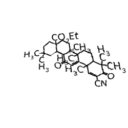 CCOC(=O)C12CCC(C)(C)CC1C1C(=O)C=C3C4(C)C=C(C#N)C(=O)C(C)(C)C4CCC3(C)[C@]1(C)CC2